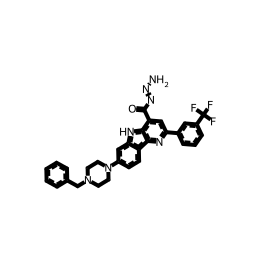 NN=NC(=O)c1cc(-c2cccc(C(F)(F)F)c2)nc2c1[nH]c1cc(N3CCN(Cc4ccccc4)CC3)ccc12